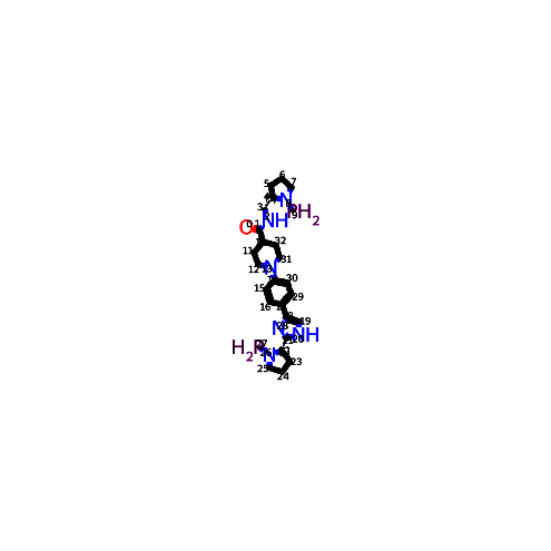 O=C(NC[C@@H]1CCCN1P)C1CCN(c2ccc(-c3c[nH]c([C@@H]4CCCN4P)n3)cc2)CC1